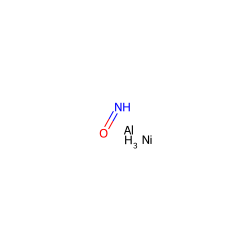 N=O.[AlH3].[Ni]